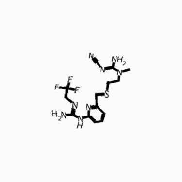 CN(CCSCc1cccc(NC(N)=NCC(F)(F)F)n1)C(N)=NC#N